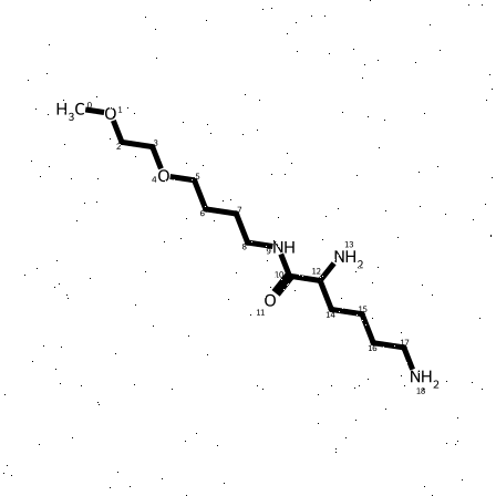 COCCOCCCCNC(=O)C(N)CCCCN